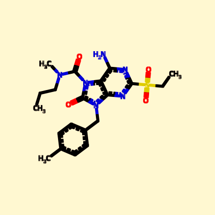 CCCN(C)C(=O)n1c(=O)n(Cc2ccc(C)cc2)c2nc(S(=O)(=O)CC)nc(N)c21